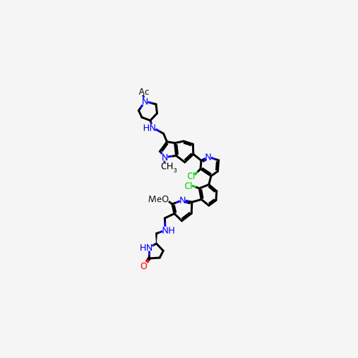 COc1nc(-c2cccc(-c3ccnc(-c4ccc5c(CNC6CCN(C(C)=O)CC6)cn(C)c5c4)c3Cl)c2Cl)ccc1CNC[C@H]1CCC(=O)N1